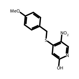 COc1ccc(CSc2cc(O)ncc2[N+](=O)[O-])cc1